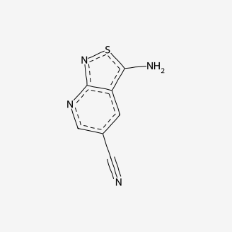 N#Cc1cnc2nsc(N)c2c1